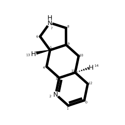 C1=CN=C2C[C@@H]3CNCC3C[C@H]2C1